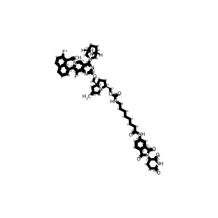 C#Cc1c(F)ccc2cccc(-c3ncc4c(N5C[C@H]6CC[C@@H](C5)N6)nc(OC[C@@]56CC[C@@H](COC(=O)NCCCCCCCC(=O)Nc7ccc8c(c7)C(=O)N(C7CCC(=O)NC7=O)C8=O)N5CC(=C)C6)nc4c3F)c12